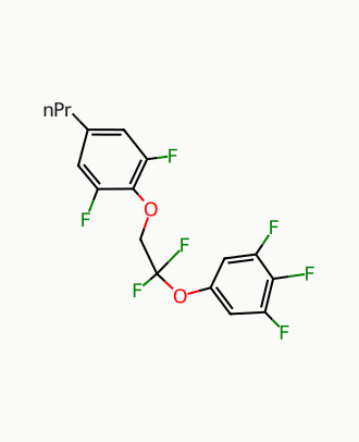 CCCc1cc(F)c(OCC(F)(F)Oc2cc(F)c(F)c(F)c2)c(F)c1